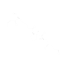 C/C=C\C(=O)N(C=O)CCCCC(=O)N1CCC[C@@]1(C)C(=O)NCC(=O)CCC=O